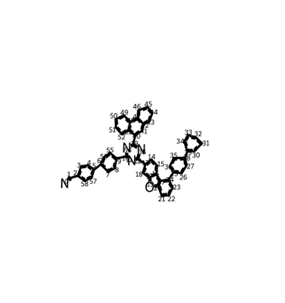 N#Cc1ccc(-c2ccc(-c3nc(-c4ccc5c(c4)oc4cccc(-c6ccc(-c7ccccc7)cc6)c45)nc(-c4cc5ccccc5c5ccccc45)n3)cc2)cc1